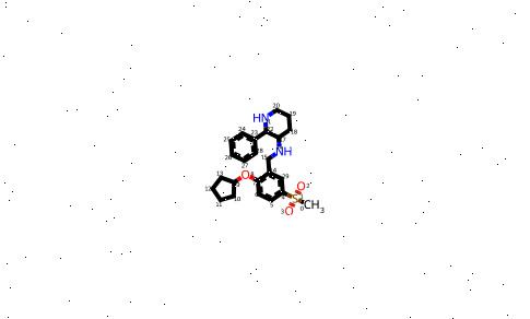 CS(=O)(=O)c1ccc(OC2CCCC2)c(CNC2CCCNC2c2ccccc2)c1